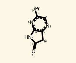 CC(C)c1cnc2c(n1)NC(=O)C2